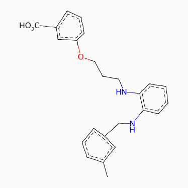 Cc1cccc(CNc2ccccc2NCCCOc2cccc(C(=O)O)c2)c1